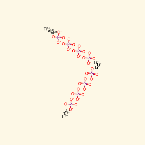 O=P([O-])([O-])[O-].O=P([O-])([O-])[O-].O=P([O-])([O-])[O-].O=P([O-])([O-])[O-].O=P([O-])([O-])[O-].O=P([O-])([O-])[O-].O=P([O-])([O-])[O-].O=P([O-])([O-])[O-].[Al+3].[Al+3].[Al+3].[Li+].[Li+].[Li+].[Ti+4].[Ti+4].[Ti+4]